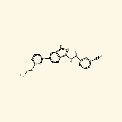 CCOc1cccc(-c2ccc3c(NC(=O)c4cccc(C#N)c4)n[nH]c3c2)c1